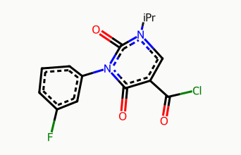 CC(C)n1cc(C(=O)Cl)c(=O)n(-c2cccc(F)c2)c1=O